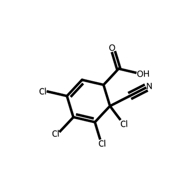 N#CC1(Cl)C(Cl)=C(Cl)C(Cl)=CC1C(=O)O